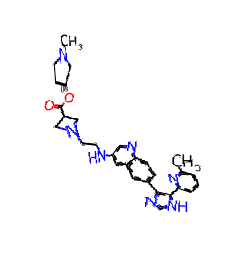 Cc1cccc(-c2[nH]cnc2-c2ccc3ncc(NCCN4CC(C(=O)O[C@@H]5CCN(C)C5)C4)cc3c2)n1